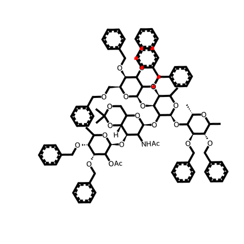 CC(=O)NC1[C@H](OC2[C@H](OC3[C@H](C)OC(C)[C@H](OCc4ccccc4)[C@H]3OCc3ccccc3)OC(C)[C@H](OCc3ccccc3)[C@@H]2O[C@H]2O[C@@H](COCc3ccccc3)[C@@H](OCc3ccccc3)C(OCc3ccccc3)C2OCc2ccccc2)OC2COC(C)(C)O[C@H]2[C@@H]1O[C@@H]1OC(C)[C@@H](OCc2ccccc2)[C@@H](OCc2ccccc2)C1OC(C)=O